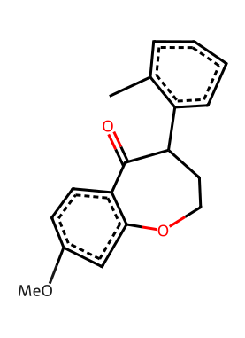 COc1ccc2c(c1)OCCC(c1ccccc1C)C2=O